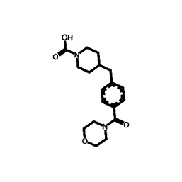 O=C(O)N1CCC(Cc2ccc(C(=O)N3CCOCC3)cc2)CC1